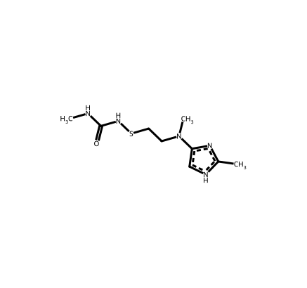 CNC(=O)NSCCN(C)c1c[nH]c(C)n1